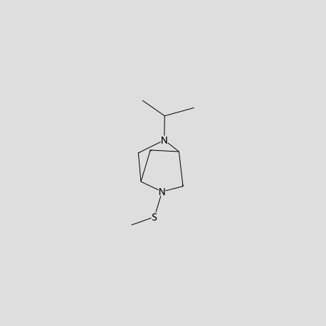 CSN1CC2CC1CN2C(C)C